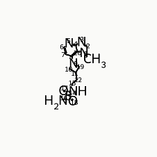 Cn1cnc2nccc(N3CC(CCNS(N)(=O)=O)C3)c21